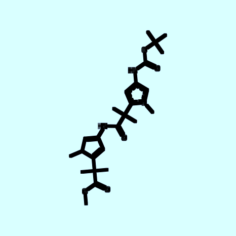 COC(=O)C(C)(C)C1=CC(NC(=O)C(C)(C)c2cc(NC(=O)OC(C)(C)C)cn2C)=CC1C